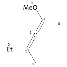 CCC(C)=C=C(C)OC